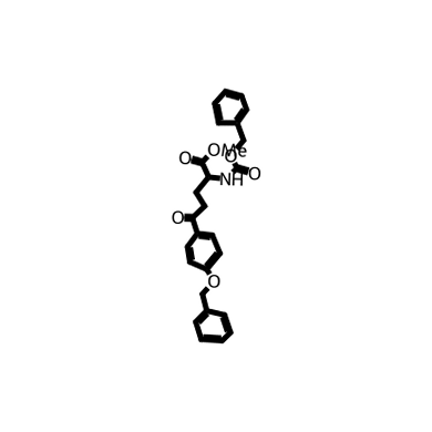 COC(=O)C(CCC(=O)c1ccc(OCc2ccccc2)cc1)NC(=O)OCc1ccccc1